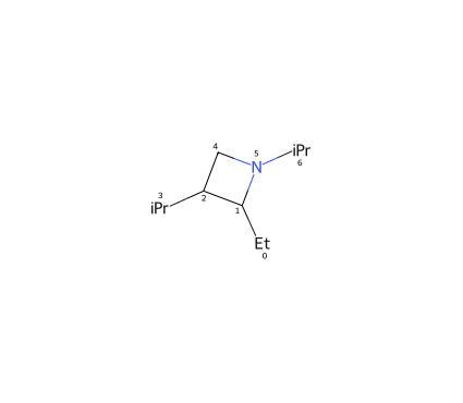 CCC1C(C(C)C)CN1C(C)C